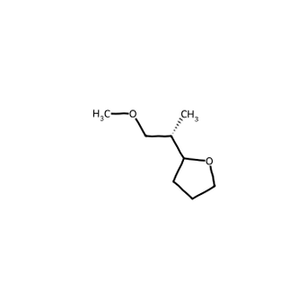 COC[C@H](C)C1CCCO1